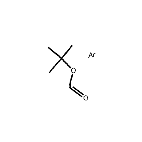 CC(C)(C)OC=O.[Ar]